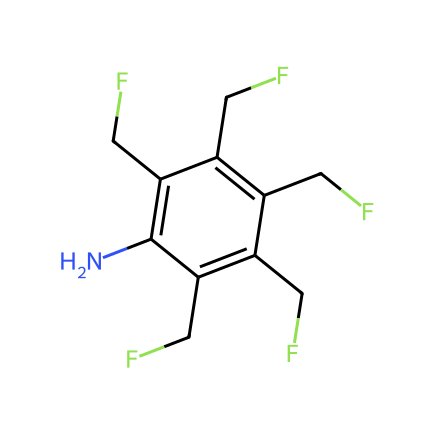 Nc1c(CF)c(CF)c(CF)c(CF)c1CF